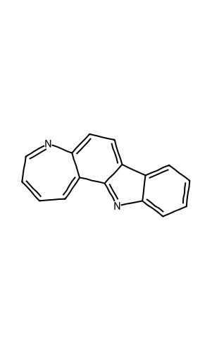 c1ccc2c(ccc3c4ccccc4nc23)nc1